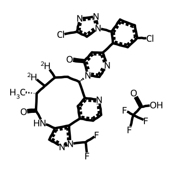 O=C(O)C(F)(F)F.[2H]C1C[C@H](n2cnc(-c3cc(Cl)ccc3-n3cc(Cl)nn3)cc2=O)c2cc(ccn2)-c2c(cnn2C(F)F)NC(=O)[C@H](C)C1[2H]